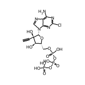 C#C[C@@]1(O)[C@H](O)[C@@H](COP(=O)(O)OP(=O)(O)OP(=O)(O)O)O[C@H]1n1cnc2c(N)nc(Cl)nc21